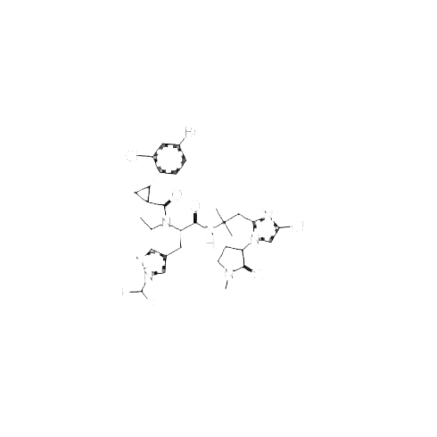 CN1CCC(n2cc(C(F)(F)F)nc2CC(C)(C)NC(=O)[C@@H](Cc2cnn(C(F)F)c2)N2CC[C@@]3(C[C@@H]3c3ccc(Br)cc3Cl)C2=O)C1=O